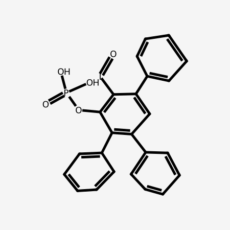 O=Ic1c(-c2ccccc2)cc(-c2ccccc2)c(-c2ccccc2)c1OP(=O)(O)O